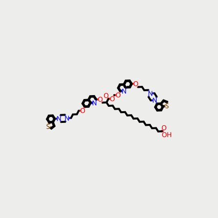 O=C(O)CCCCCCCCCCCCCCCCCC(COc1ccc2ccc(OCCCCN3CCN(c4cccc5sccc45)CC3)cc2n1)C(=O)OCOc1ccc2ccc(OCCCCN3CCN(c4cccc5sccc45)CC3)cc2n1